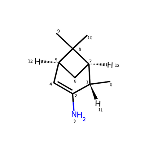 C[C@@H]1C(N)=C[C@@H]2C[C@H]1C2(C)C